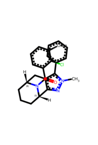 COc1cccc(C(=O)N2[C@@H]3CCC[C@H]2c2nn(C)c(-c4ccccc4)c2C3)c1Cl